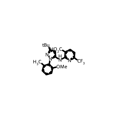 COc1cccc(C)c1-n1nc(C(C)(C)C)cc1Nc1nc(C(F)(F)F)ccc1C(=O)O